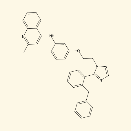 Cc1cc(Nc2cccc(OCCn3ccnc3-c3ccccc3Cc3ccccc3)c2)c2ccccc2n1